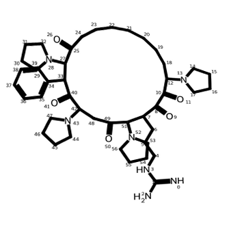 N=C(N)NCCCC1C(=O)C(=O)C(N2CCCC2)CCCCCCCC(=O)C(N2CCCC2)C(c2ccccc2)C(=O)C(N2CCCC2)CC(=O)C1N1CCCC1